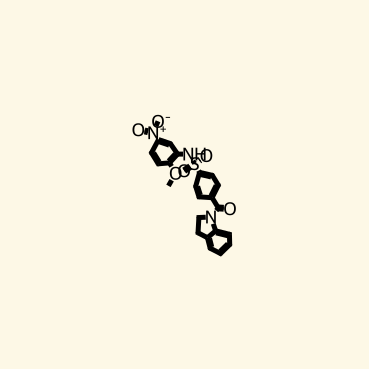 COc1ccc([N+](=O)[O-])cc1NS(=O)(=O)c1ccc(C(=O)N2CCc3ccccc32)cc1